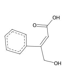 O=C(O)/C=C(/CO)c1ccccc1